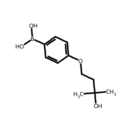 CC(C)(O)CCOc1ccc(B(O)O)cc1